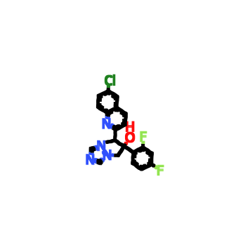 CC(c1ccc2cc(Cl)ccc2n1)C(O)(Cn1cncn1)c1ccc(F)cc1F